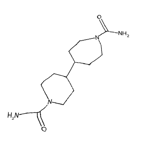 NC(=O)N1CCC(C2CCN(C(N)=O)CC2)CC1